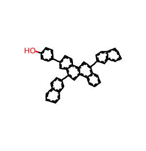 Oc1ccc(-c2ccc3c(c2)c(-c2ccc4ccccc4c2)cc2c4ccccc4c(-c4ccc5ccccc5c4)cc32)cc1